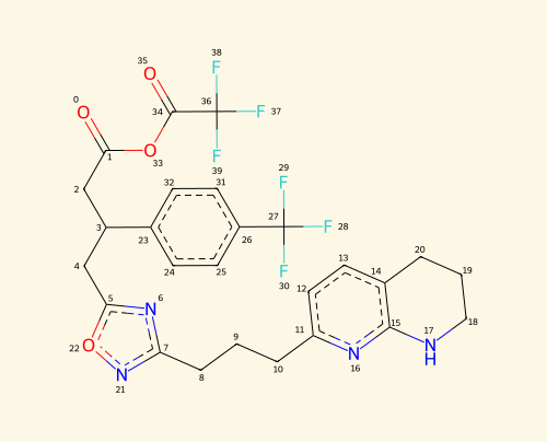 O=C(CC(Cc1nc(CCCc2ccc3c(n2)NCCC3)no1)c1ccc(C(F)(F)F)cc1)OC(=O)C(F)(F)F